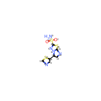 NS(=O)(=O)c1nn2c(-c3cncs3)cnc2s1